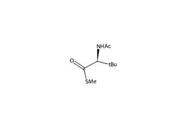 CSC(=O)[C@@H](NC(C)=O)C(C)(C)C